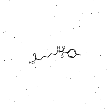 Cc1ccc(S(=O)(=O)NCCCCCC(=O)O)cc1